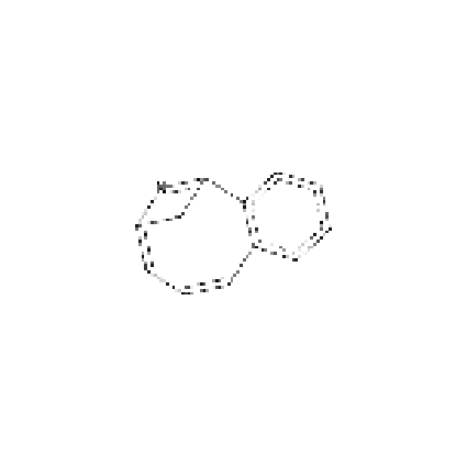 C1=Cc2ccccc2C2=NC(=C1)C2